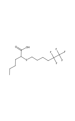 CCCCC(SCCCCC(F)(F)C(F)(F)F)C(=O)O